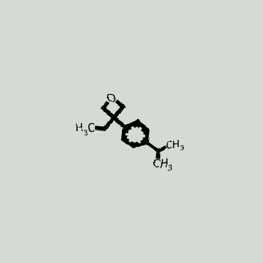 CCC1(c2ccc(C(C)C)cc2)COC1